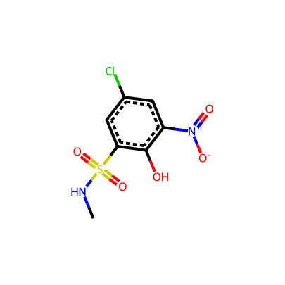 CNS(=O)(=O)c1cc(Cl)cc([N+](=O)[O-])c1O